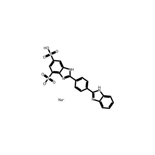 O=S(=O)([O-])c1cc(S(=O)(=O)O)cc2[nH]c(-c3ccc(-c4nc5ccccc5[nH]4)cc3)nc12.[Na+]